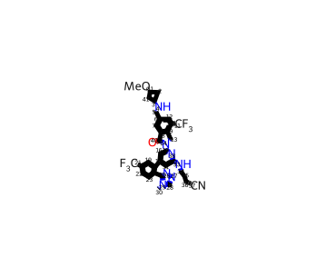 CO[C@H]1C[C@@H](NCc2cc3c(c(C(F)(F)F)c2)CN(c2cc(-c4cc(C(F)(F)F)ccc4-c4nncn4C)cc(NCCCC#N)n2)C3=O)C1